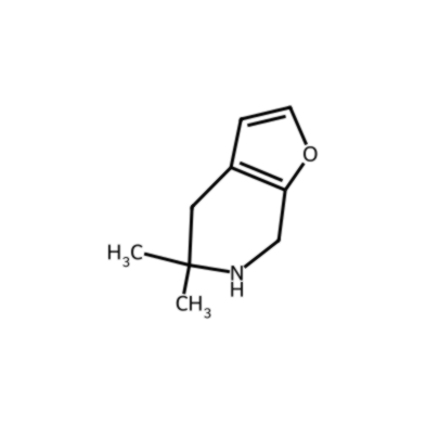 CC1(C)Cc2ccoc2CN1